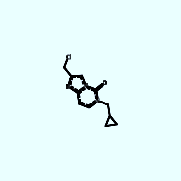 O=c1n(CC2CC2)ccc2nc(CCl)cn12